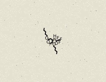 CCCCCO[C@H]1C[C@H](NC(=O)C(F)(F)F)[C@H](OCCCCC)[C@H](C)O1